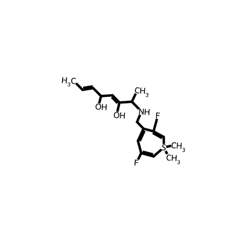 CC=CC(O)/C=C(\O)C(C)NCC1=CC(F)=CS(C)(C)C=C1F